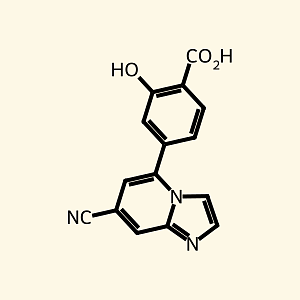 N#Cc1cc(-c2ccc(C(=O)O)c(O)c2)n2ccnc2c1